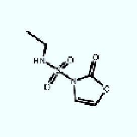 CCNS(=O)(=O)n1ccoc1=O